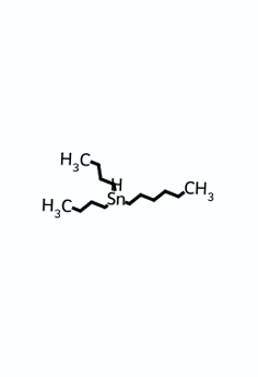 CCCCC[CH2][SnH]([CH2]CCC)[CH2]CCC